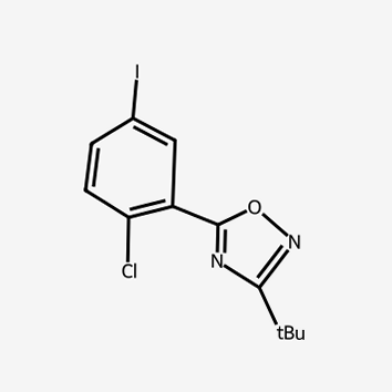 CC(C)(C)c1noc(-c2cc(I)ccc2Cl)n1